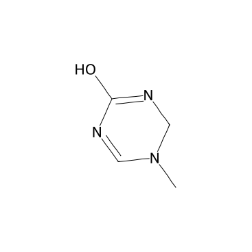 CN1C=NC(O)=NC1